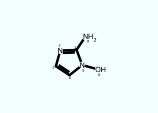 Nc1nccn1O